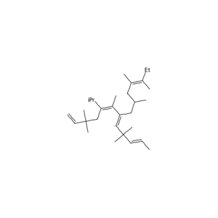 C=CC(C)(C)CC(=C(C)/C(=[C]/C(C)(C)C=CC)CC(C)CC(C)=C(C)CC)C(C)C